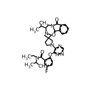 CCN(C(=O)c1cc(F)ccc1Oc1nncnc1N1CCC2(C1)CN(C(CN1C(=O)c3ccccc3C1=O)C(C)C)C2)C(C)C